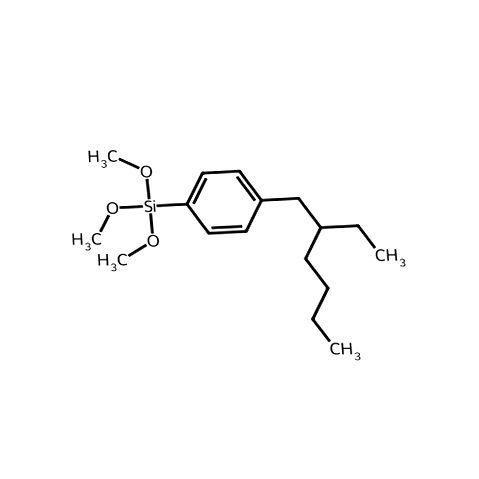 CCCCC(CC)Cc1ccc([Si](OC)(OC)OC)cc1